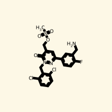 CS(=O)(=O)OCc1cc(-c2ccc(F)c(CN)c2)nn(Cc2c(Cl)cccc2Cl)c1=O